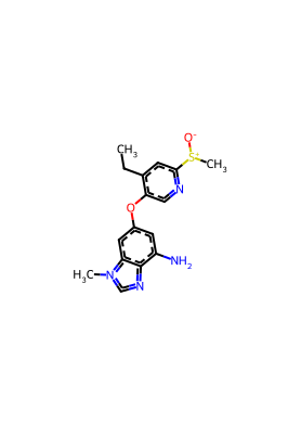 CCc1cc([S+](C)[O-])ncc1Oc1cc(N)c2ncn(C)c2c1